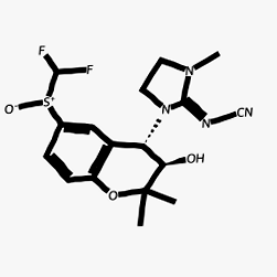 CN1CCN([C@H]2c3cc([S+]([O-])C(F)F)ccc3OC(C)(C)[C@@H]2O)C1=NC#N